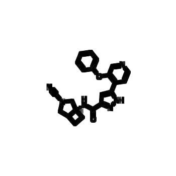 N#CN1CC2CC[C@]2(NC(=O)c2cc(-c3ccncc3Oc3ccccc3)[nH]n2)C1